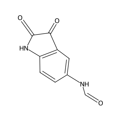 O=CNc1ccc2c(c1)C(=O)C(=O)N2